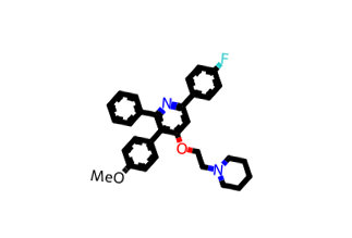 COc1ccc(-c2c(OCCN3CCCCC3)cc(-c3ccc(F)cc3)nc2-c2ccccc2)cc1